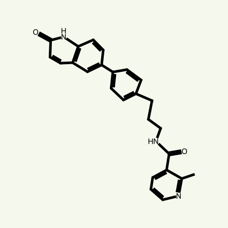 Cc1ncccc1C(=O)NCCCc1ccc(-c2ccc3[nH]c(=O)ccc3c2)cc1